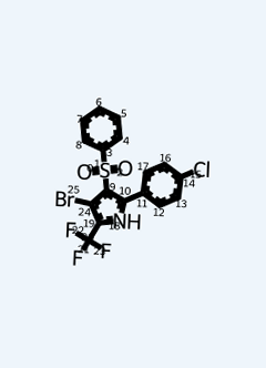 O=S(=O)(c1ccccc1)c1c(-c2ccc(Cl)cc2)[nH]c(C(F)(F)F)c1Br